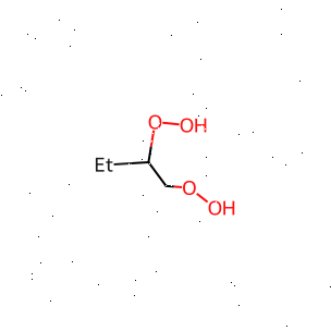 CCC(COO)OO